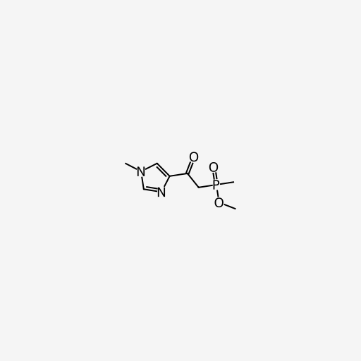 COP(C)(=O)CC(=O)c1cn(C)cn1